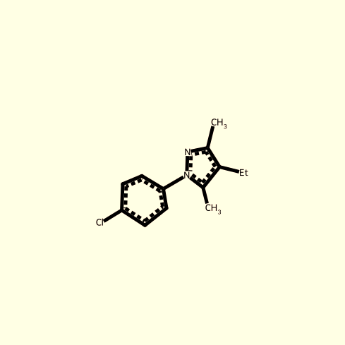 CCc1c(C)nn(-c2ccc(Cl)cc2)c1C